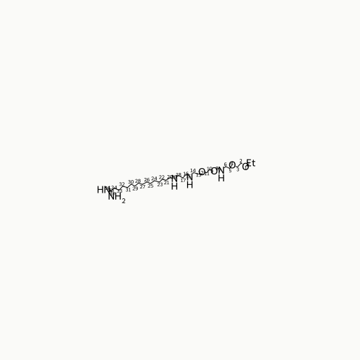 CCOCCOCCNCOCCOCCNCCCNCCCCCCCCCCCCCCCC(=N)N